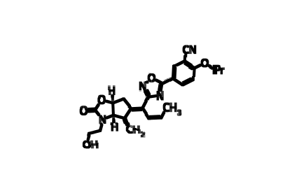 C=C1/C(=C(\C=C/C)c2noc(-c3ccc(OC(C)C)c(C#N)c3)n2)C[C@H]2OC(=O)N(CCO)[C@@H]12